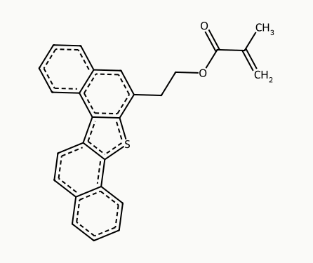 C=C(C)C(=O)OCCc1cc2ccccc2c2c1sc1c3ccccc3ccc12